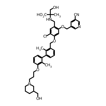 Cc1c(COc2cc(OCc3cncc(C#N)c3)c(CNC(C)(CO)C(=O)O)cc2Cl)cccc1-c1cccc(OCCCN2CCCC(CO)C2)c1C